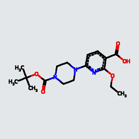 CCOc1nc(N2CCN(C(=O)OC(C)(C)C)CC2)ccc1C(=O)O